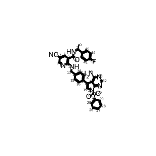 C[C@H](NC(=O)c1cc(C#N)cnc1NCc1ccc(-c2cn(S(=O)(=O)c3ccccc3)c3ncnc(N)c23)cc1)c1ccc(F)cc1